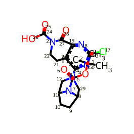 CC(C)(C)OC(=O)N1C2CCC1CN(c1nc(Cl)nc3c1CCN(C(=O)O)C3=O)C2